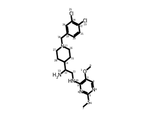 COc1cnc(SC)nc1NCC(N)C1CCN(Cc2ccc(Cl)c(Cl)c2)CC1